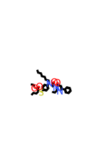 CCCCCCCN(C(=O)Cn1c(CC)nc(-c2ccccc2)cc1=O)c1ccc(SC(CCC)C(=O)OCC)cc1